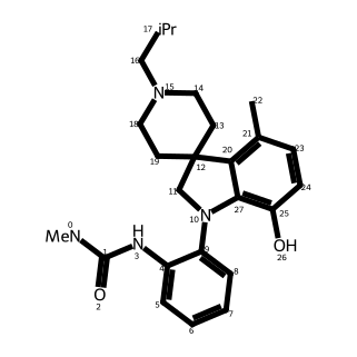 CNC(=O)Nc1ccccc1N1CC2(CCN(CC(C)C)CC2)c2c(C)ccc(O)c21